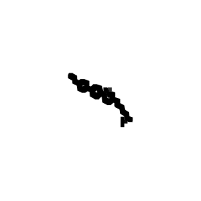 C=CCc1ccc(-c2ccc(-c3ccc(C=CCCCC(C)F)cn3)cc2)cc1